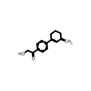 C=C1C=C(c2ccc(C(=O)CO)cc2)CCC1